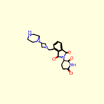 O=C1CCC(N2C(=O)c3cccc(CN4CC(N5CCNCC5)C4)c3C2=O)C(=O)N1